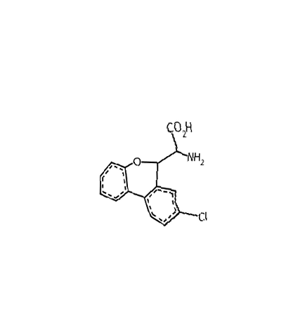 NC(C(=O)O)C1Oc2ccccc2-c2ccc(Cl)cc21